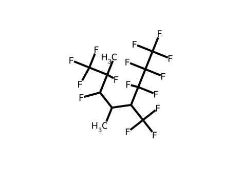 CC(C(F)C(C)(F)C(F)(F)F)C(C(F)(F)F)C(F)(F)C(F)(F)C(F)(F)F